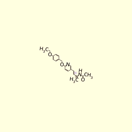 CCOc1ccc(COc2ccc(/C=C/[C@H](C)NC(C)=O)cn2)cc1